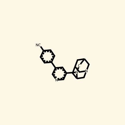 N#Cc1ccc(-c2cncc(N3CC4CC5CC3CN(C5)C4)c2)cc1